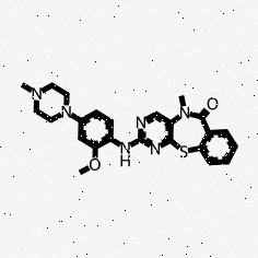 COc1cc(N2CCN(C)CC2)ccc1Nc1ncc2c(n1)Sc1ccccc1C(=O)N2C